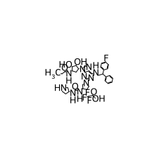 CCC(=O)N[C@H]1C[C@@H](n2cnc3c(NCC(c4ccccc4)c4ccc(F)cc4)nc(N4CC[C@@H](NC(=O)N[C@@H]5CCNC5)C4)nc32)[C@H](O)[C@@H]1O.O=C(O)C(F)(F)F